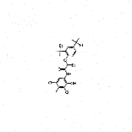 CCC(Oc1ccc(C(C)(C)CC)cc1C(C)(C)CC)C(=O)Nc1cc(Cl)c(C)c(Cl)c1O